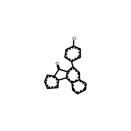 O=C1c2ccccc2-c2c1c(-c1ccc(Cl)cc1)cc1ccccc21